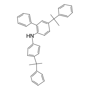 CC(C)(c1ccccc1)c1ccc(Nc2ccc(C(C)(C)c3ccccc3)cc2-c2ccccc2)cc1